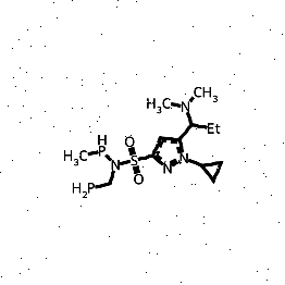 CCC(c1cc(S(=O)(=O)N(CP)PC)nn1C1CC1)N(C)C